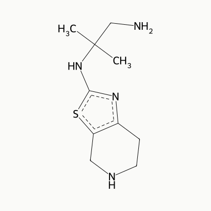 CC(C)(CN)Nc1nc2c(s1)CNCC2